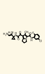 Cc1c(C(=O)C(=O)NC2(/C(N)=C/N)CC2)c2n(c1C(=O)Nc1cc(Cl)ccc1F)CCC2